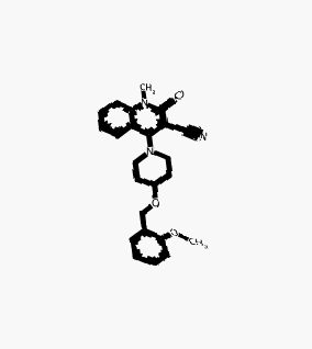 COc1ccccc1COC1CCN(c2c(C#N)c(=O)n(C)c3ccccc23)CC1